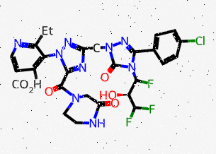 CCc1nccc(C(=O)O)c1-n1nc(Cn2nc(-c3ccc(Cl)cc3)n(C(F)[C@H](O)C(F)F)c2=O)nc1C(=O)N1CCNC(=O)C1